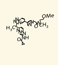 COCCN(C)C(=O)Cn1cc(-c2ccc3nnc(C(C)c4ccc5nc(NC(=O)C6CC6)cn5n4)n3c2)cn1